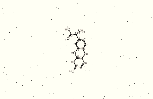 CC(C(=O)O)c1ccc2c(c1)OC1=C(C=CC(=O)C1)C2